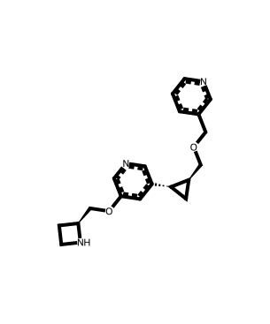 c1cncc(COC[C@H]2C[C@@H]2c2cncc(OC[C@@H]3CCN3)c2)c1